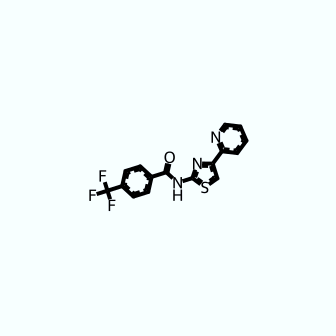 O=C(Nc1nc(-c2ccccn2)cs1)c1ccc(C(F)(F)F)cc1